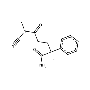 CN(C#N)C(=O)[CH]C[C@](C)(C(N)=O)c1ccccc1